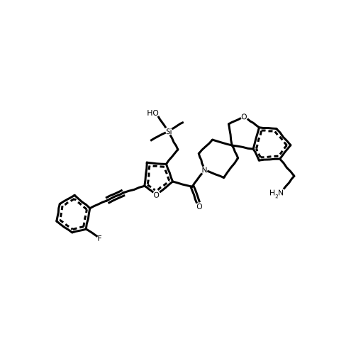 C[Si](C)(O)Cc1cc(C#Cc2ccccc2F)oc1C(=O)N1CCC2(CC1)COc1ccc(CN)cc12